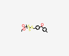 CCOC(=O)C(C)(C)SC(=S)SCc1ccc(C(=O)c2ccc(C)cc2)cc1